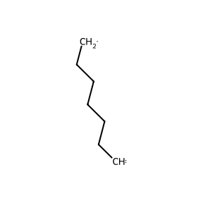 [CH]CCCCC[CH2]